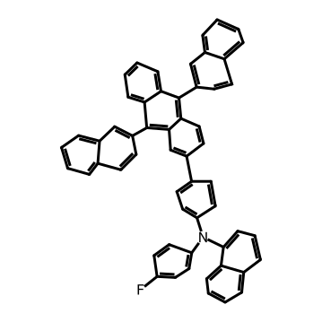 Fc1ccc(N(c2ccc(-c3ccc4c(-c5ccc6ccccc6c5)c5ccccc5c(-c5ccc6ccccc6c5)c4c3)cc2)c2cccc3ccccc23)cc1